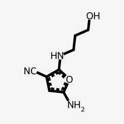 N#Cc1cc(N)oc1NCCCO